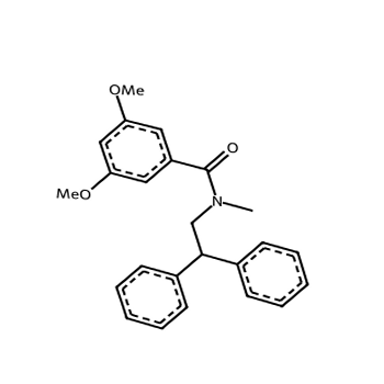 COc1cc(OC)cc(C(=O)N(C)CC(c2ccccc2)c2ccccc2)c1